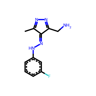 CC1=NN=C(CN)/C1=N/Nc1cccc(F)c1